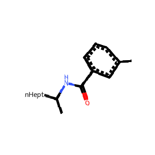 CCCCCCCC(C)NC(=O)c1cccc(C)c1